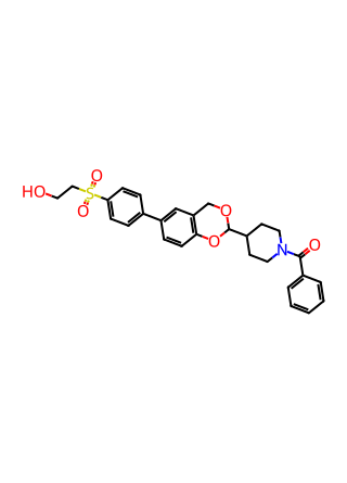 O=C(c1ccccc1)N1CCC(C2OCc3cc(-c4ccc(S(=O)(=O)CCO)cc4)ccc3O2)CC1